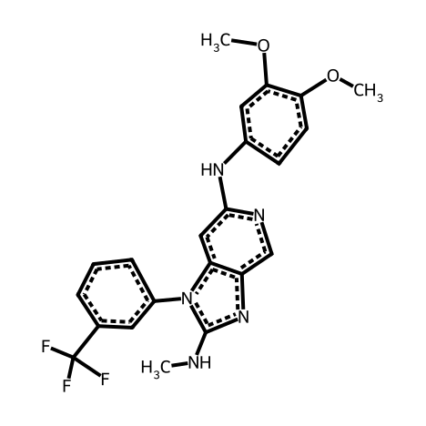 CNc1nc2cnc(Nc3ccc(OC)c(OC)c3)cc2n1-c1cccc(C(F)(F)F)c1